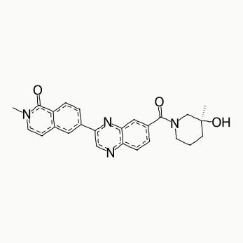 Cn1ccc2cc(-c3cnc4ccc(C(=O)N5CCC[C@](C)(O)C5)cc4n3)ccc2c1=O